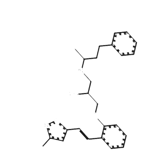 Cc1cc(C=Cc2ccccc2OCC(O)CNC(C)CCc2ccccc2)on1